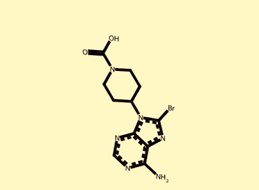 Nc1ncnc2c1nc(Br)n2C1CCN(C(=O)O)CC1